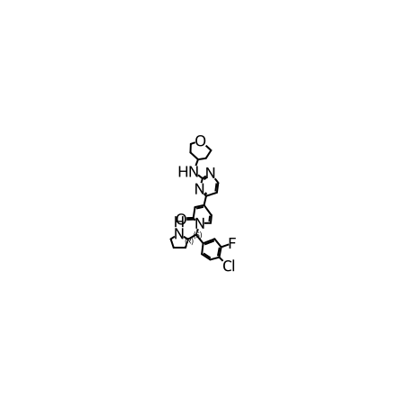 O=c1cc(-c2ccnc(NC3CCOCC3)n2)ccn1[C@@H](c1ccc(Cl)c(F)c1)[C@H]1CCCN1